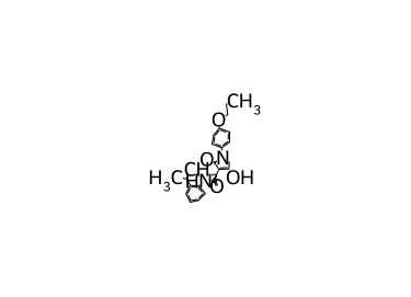 CCCOc1ccc(N2CC(O)=C(C(=O)Nc3ccccc3C(C)C)C2=O)cc1